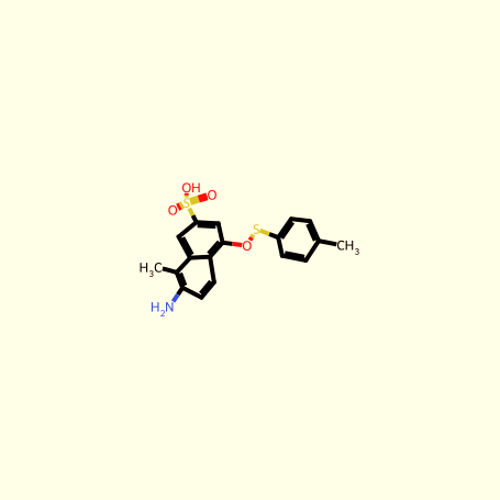 Cc1ccc(SOc2cc(S(=O)(=O)O)cc3c(C)c(N)ccc23)cc1